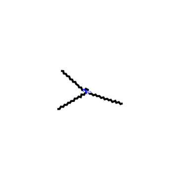 CCCCCCCCCCCCCCCCCC[n+]1ccn(CCCCCCCCCCCCCCC)c1CCCCCCCCCCCCCCCC